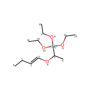 CCC=COC(C)[Si](OCC)(OCC)OCC